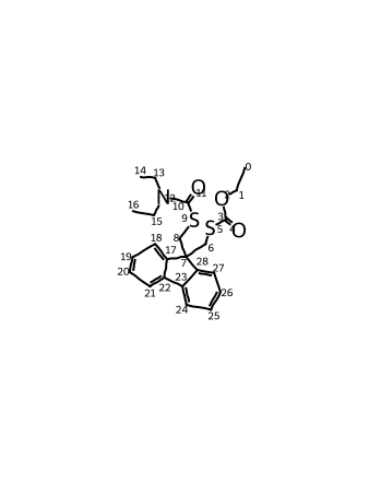 CCOC(=O)SCC1(CSC(=O)N(CC)CC)c2ccccc2-c2ccccc21